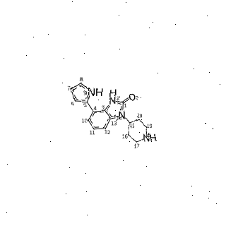 O=c1[nH]c2c(-c3ccc[nH]3)cccc2n1C1CCNCC1